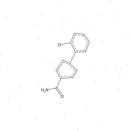 NC(=O)c1ccc(-c2ccccc2Cl)cc1